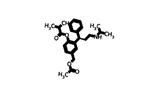 CC(=O)OCc1ccc(OC(=O)C(C)C)c([C@H](CCNC(C)C)c2ccccc2)c1